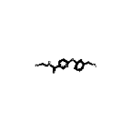 CC(C)CCNC(=O)c1ccc(Oc2cccc(OC(F)(F)F)c2)nc1